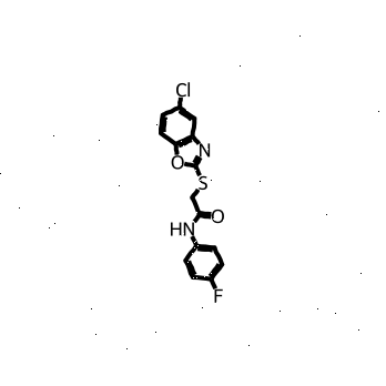 O=C(CSc1nc2cc(Cl)ccc2o1)Nc1ccc(F)cc1